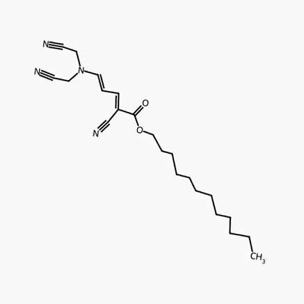 CCCCCCCCCCCCOC(=O)/C(C#N)=C/C=C/N(CC#N)CC#N